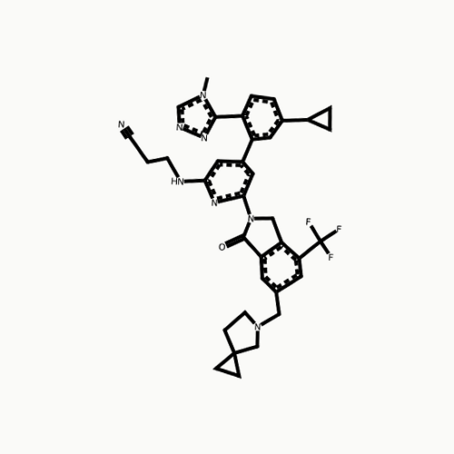 Cn1cnnc1-c1ccc(C2CC2)cc1-c1cc(NCCC#N)nc(N2Cc3c(cc(CN4CCC5(CC5)C4)cc3C(F)(F)F)C2=O)c1